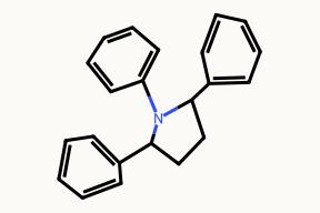 c1ccc(C2CCC(c3ccccc3)N2c2ccccc2)cc1